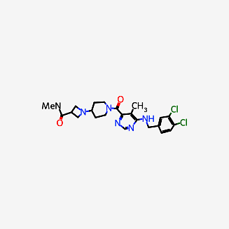 CNC(=O)C1CN(C2CCN(C(=O)c3ncnc(NCc4ccc(Cl)c(Cl)c4)c3C)CC2)C1